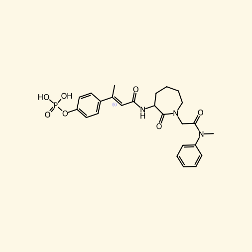 C/C(=C\C(=O)NC1CCCCN(CC(=O)N(C)c2ccccc2)C1=O)c1ccc(OP(=O)(O)O)cc1